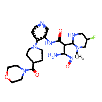 CN1CC(F)CNC1C(C(=O)Nc1cnccc1N1CCC(C(=O)N2CCOCC2)CC1)C(N)N=O